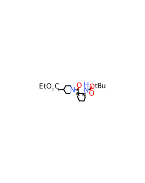 CCOC(=O)CC1CCN(C(=O)[C@@H]2CCCC[C@H]2NC(=O)OC(C)(C)C)CC1